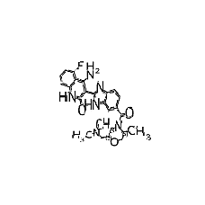 C[C@H]1CO[C@@H](CN(C)C)CN1C(=O)c1ccc2nc(-c3c(N)c4c(F)cccc4[nH]c3=O)[nH]c2c1